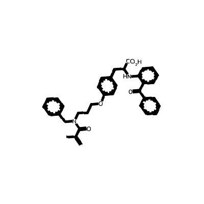 C=C(C)C(=O)N(CCCOc1ccc(CC(Nc2ccccc2C(=O)c2ccccc2)C(=O)O)cc1)Cc1ccccc1